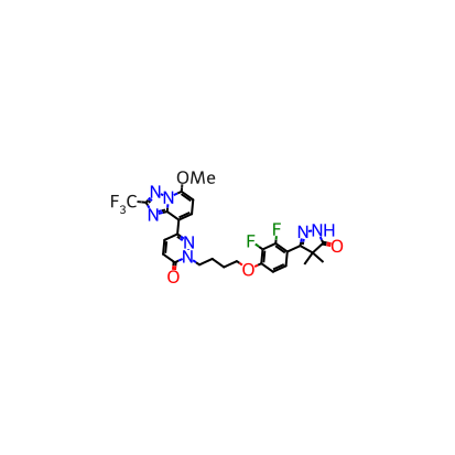 COc1ccc(-c2ccc(=O)n(CCCCOc3ccc(C4=NNC(=O)C4(C)C)c(F)c3F)n2)c2nc(C(F)(F)F)nn12